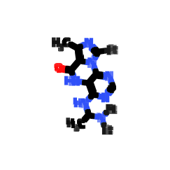 CCc1nc(C)c2c(=O)[nH]c3c(NC(C)N(CC)CC)ncnc3n12